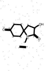 C=C.CN1C(=O)C(O)CC12CCC(=O)CC2